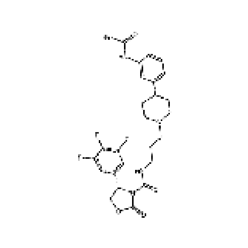 CC(C)C(=O)Nc1cccc(C2CCN(CCCNC(=O)N3C(=O)OC[C@@H]3c3cc(F)c(F)c(F)c3)CC2)c1